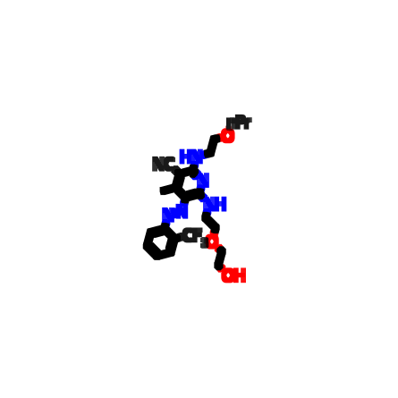 CCCOCCNc1nc(NCCOCCO)c(N=Nc2ccccc2C(F)(F)F)c(C)c1C#N